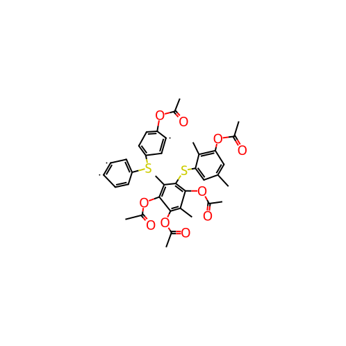 CC(=O)Oc1[c]cc(Sc2c[c][c]cc2)cc1.CC(=O)Oc1cc(C)cc(Sc2c(C)c(OC(C)=O)c(OC(C)=O)c(C)c2OC(C)=O)c1C